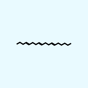 CCCC=CCCC=CCCC=CCCCCC